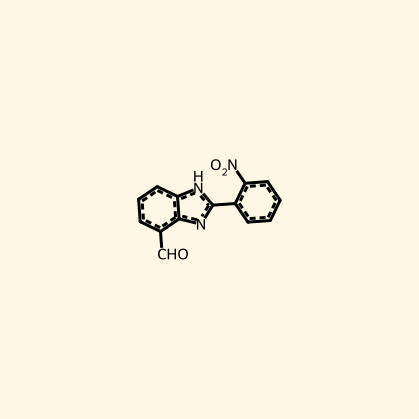 O=Cc1cccc2[nH]c(-c3ccccc3[N+](=O)[O-])nc12